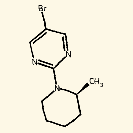 C[C@H]1CCCCN1c1ncc(Br)cn1